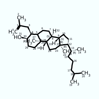 C=C(C)C[C@H]1C2CC[C@H]3[C@@H]4CC[C@H]([C@H](C)CCCC(C)C)[C@@]4(C)CC[C@@H]3[C@@]2(C)CC[C@H]1O